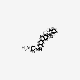 N[C@H]1CC[C@H](Nc2ncc3cc(-c4ccc(N[S+]([O-])c5ccccc5Cl)c(F)c4F)ccc3n2)CC1